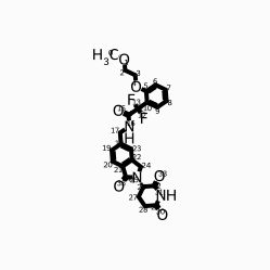 COCCOc1ccccc1C(F)(F)C(=O)NCc1ccc2c(c1)CN([C@@H]1CCC(=O)NC1=O)C2=O